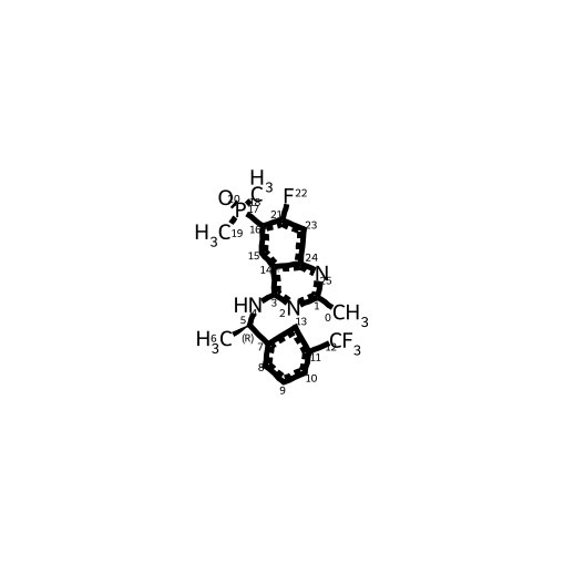 Cc1nc(N[C@H](C)c2cccc(C(F)(F)F)c2)c2cc(P(C)(C)=O)c(F)cc2n1